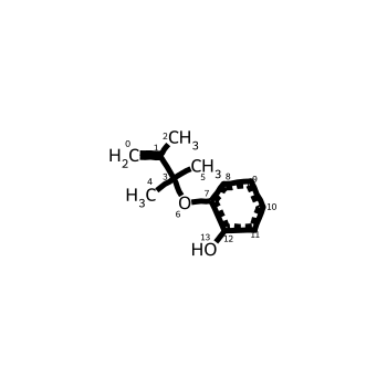 C=C(C)C(C)(C)Oc1ccccc1O